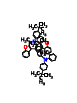 C=C(c1oc2ccccc2c1C1=C(C)C2(c3ccccc3Oc3ccccc32)c2cc(N(C3=CC=C(C(C)(C)C)CC3)c3ccccc3C)ccc21)N(c1ccc(C(C)(C)C)cc1)c1ccccc1C